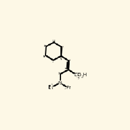 CCN(CC)CC(=CC1CCCCC1)C(=O)O